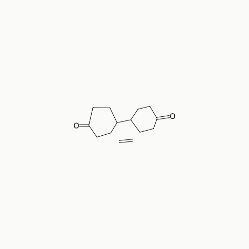 C=C.O=C1CCC(C2CCC(=O)CC2)CC1